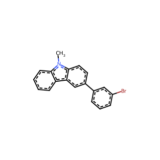 Cn1c2ccccc2c2cc(-c3cccc(Br)c3)ccc21